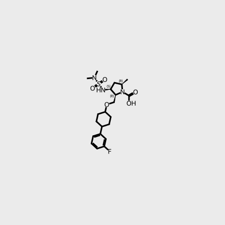 C[C@@H]1C[C@H](NS(=O)(=O)N(C)C)[C@H](COC2CCC(c3cccc(F)c3)CC2)N1C(=O)O